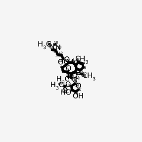 CO[C@]12CC[C@](C)(O1)[C@@H](OC(=O)/C=C/c1cn(C)cn1)C[C@H]1C(C)=CC[C@H](C(C)C)[C@H]1/C=C\2CO[C@@H]1OC[C@@H](O)[C@@H](O)[C@@H]1OC(C)=O